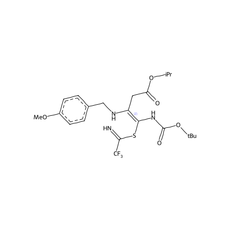 COc1ccc(CN/C(CC(=O)OC(C)C)=C(/NC(=O)OC(C)(C)C)SC(=N)C(F)(F)F)cc1